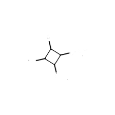 CC(=O)C1C(C(C)=O)C(C(=O)O)C1C(=O)O